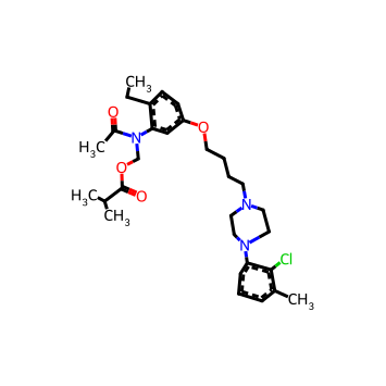 CCc1ccc(OCCCCN2CCN(c3cccc(C)c3Cl)CC2)cc1N(COC(=O)C(C)C)C(C)=O